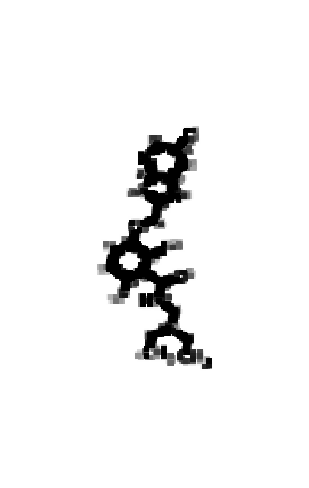 CCN(CC)CNC(=O)c1c(F)ccc(OCc2nc3cc(Cl)cnc3s2)c1F